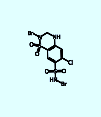 O=S(=O)(NBr)c1cc2c(cc1Cl)NCN(Br)S2(=O)=O